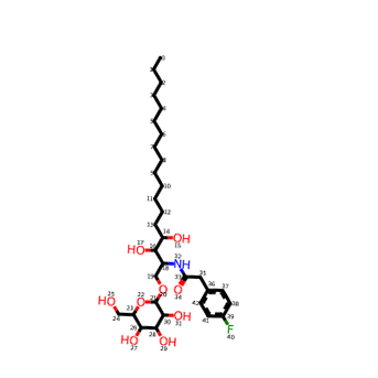 CCCCCCCCCCCCCCC(O)C(O)C(COC1OC(CO)C(O)C(O)C1O)NC(=O)Cc1ccc(F)cc1